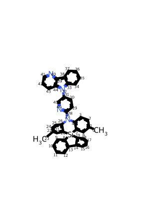 Cc1ccc2c(c1)[Si]1(c3ccccc3-c3ccccc31)c1cc(C)ccc1N2c1ccc(-n2c3ccccc3c3ncccc32)cn1